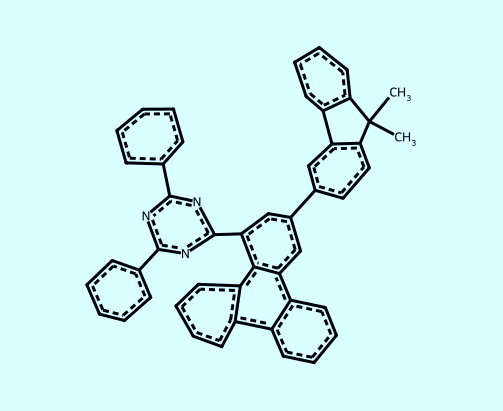 CC1(C)c2ccccc2-c2cc(-c3cc(-c4nc(-c5ccccc5)nc(-c5ccccc5)n4)c4c5ccccc5c5ccccc5c4c3)ccc21